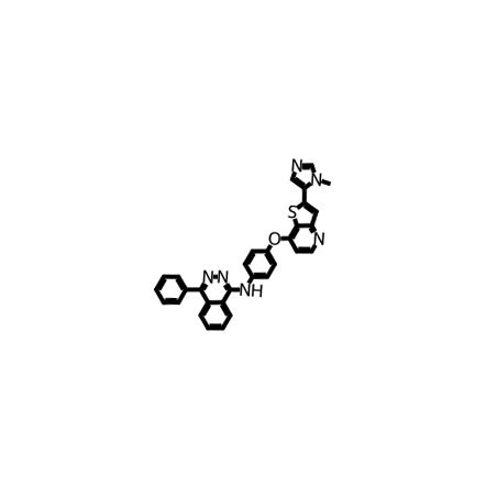 Cn1cncc1-c1cc2nccc(Oc3ccc(Nc4nnc(-c5ccccc5)c5ccccc45)cc3)c2s1